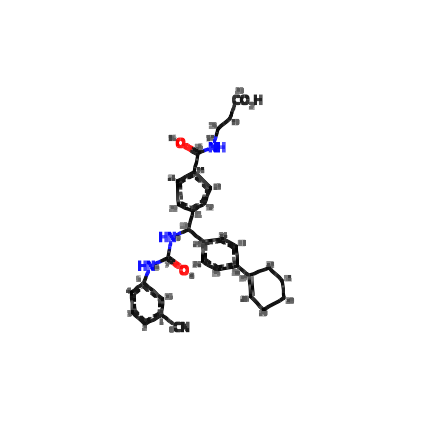 N#Cc1cccc(NC(=O)NC(c2ccc(C(=O)NCCC(=O)O)cc2)c2ccc(C3=CCCCC3)cc2)c1